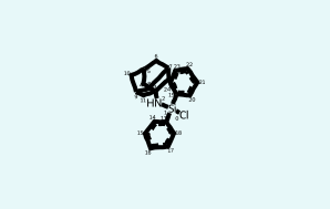 Cl[Si](NC12CC3CC(CC(C3)C1)C2)(c1ccccc1)c1ccccc1